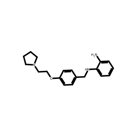 Nc1ccccc1NCc1ccc(OCCN2CCCC2)cc1